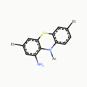 CCc1ccc2c(c1)Sc1cc(CC)cc(N)c1N2C(C)=O